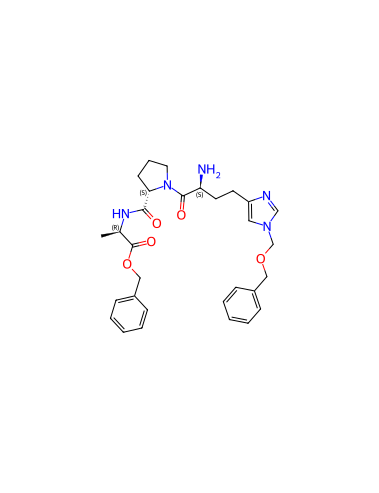 C[C@@H](NC(=O)[C@@H]1CCCN1C(=O)[C@@H](N)CCc1cn(COCc2ccccc2)cn1)C(=O)OCc1ccccc1